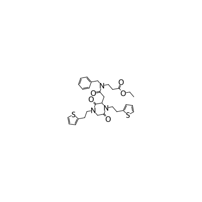 CCOC(=O)CCN(Cc1ccccc1)C(=O)CC1C(=O)N(CCc2cccs2)CC(=O)N1CCc1cccs1